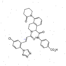 O=C(O)c1ccc(NC(=O)C2c3cccc(N4CCCCC4=O)c3CCN2C(=O)/C=C/c2cc(Cl)ccc2-n2cnnn2)cc1